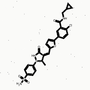 CC1/C(=C/c2ccc(-c3ccc(Cl)c(C(=O)NCC4CC4)c3)o2)C(=O)NN1c1ccc(S(N)(=O)=O)cc1